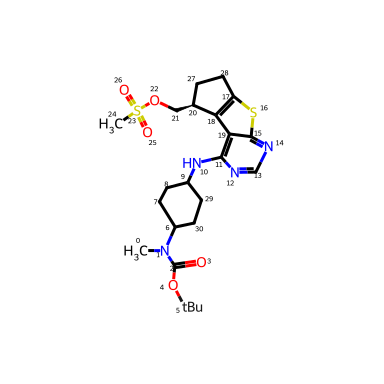 CN(C(=O)OC(C)(C)C)C1CCC(Nc2ncnc3sc4c(c23)[C@@H](COS(C)(=O)=O)CC4)CC1